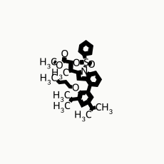 CCCCOc1c(-c2cccc3c2cc(C(C)=CC(=O)OC)n3S(=O)(=O)c2ccccc2)cc(C(C)C)cc1C(C)C